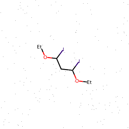 CCOC(I)CC(I)OCC